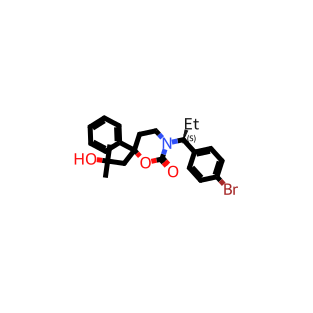 CC[C@@H](c1ccc(Br)cc1)N1CCC(CC(C)(C)O)(c2ccccc2)OC1=O